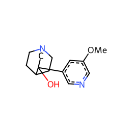 COc1cncc(C2(O)CN3CCC2CC3)c1